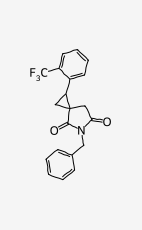 O=C1CC2(CC2c2ccccc2C(F)(F)F)C(=O)N1Cc1ccccc1